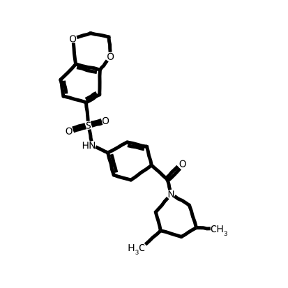 CC1CC(C)CN(C(=O)C2C=CC(NS(=O)(=O)c3ccc4c(c3)OCCO4)=CC2)C1